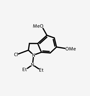 CCN(CC)N1c2cc(OC)cc(OC)c2CC1Cl